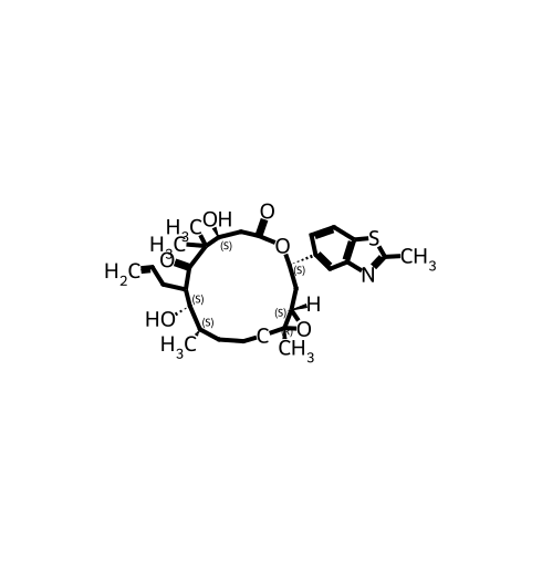 C=CCC1C(=O)C(C)(C)[C@@H](O)CC(=O)O[C@H](c2ccc3sc(C)nc3c2)C[C@@H]2O[C@]2(C)CCC[C@H](C)[C@@H]1O